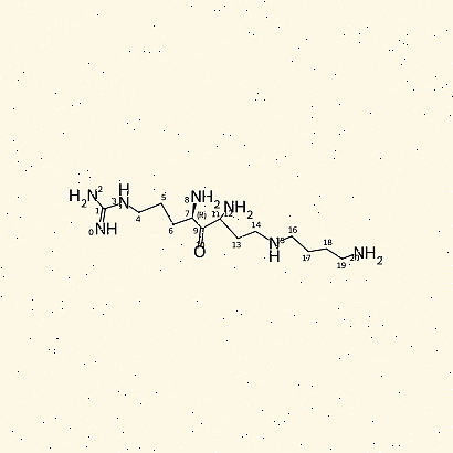 N=C(N)NCCC[C@@H](N)C(=O)C(N)CCNCCCCN